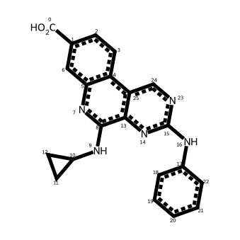 O=C(O)c1ccc2c(c1)nc(NC1CC1)c1nc(Nc3ccccc3)ncc12